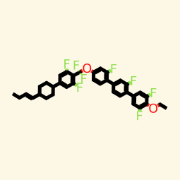 CC/C=C/C1CCC(c2cc(F)c(C(F)(F)Oc3ccc(-c4ccc(-c5cc(F)c(OCC)c(F)c5)c(F)c4)c(F)c3)c(F)c2)CC1